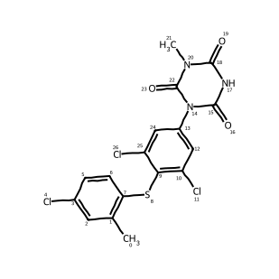 Cc1cc(Cl)ccc1Sc1c(Cl)cc(-n2c(=O)[nH]c(=O)n(C)c2=O)cc1Cl